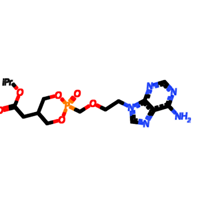 CC(C)OC(=O)CC1COP(=O)(COCCn2cnc3c(N)ncnc32)OC1